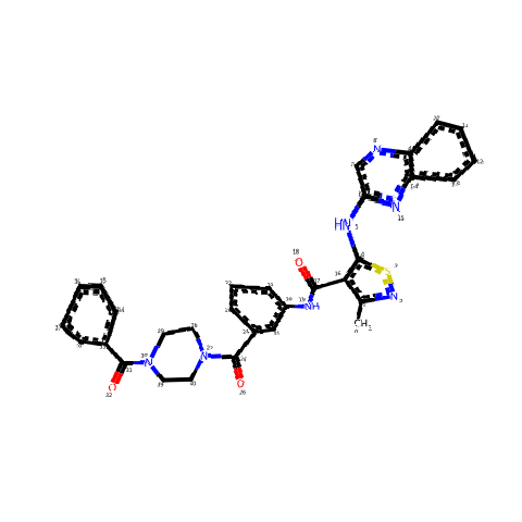 Cc1nsc(Nc2cnc3ccccc3n2)c1C(=O)Nc1cccc(C(=O)N2CCN(C(=O)c3ccccc3)CC2)c1